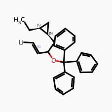 [Li]/[CH]=C/C(C[C@@H]1C[C@@H]1CC)OC(c1ccccc1)(c1ccccc1)c1ccccc1